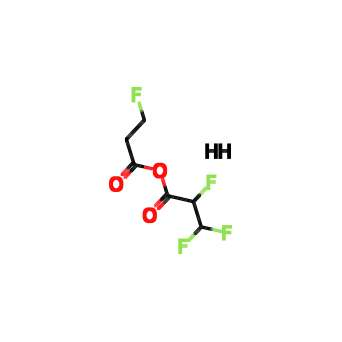 O=C(CCF)OC(=O)C(F)C(F)F.[HH]